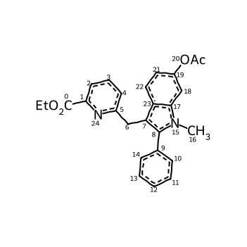 CCOC(=O)c1cccc(Cc2c(-c3ccccc3)n(C)c3cc(OC(C)=O)ccc23)n1